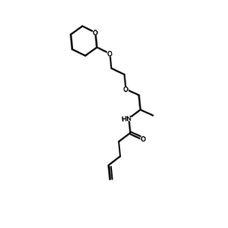 C=CCCC(=O)NC(C)COCCOC1CCCCO1